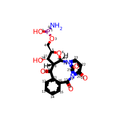 NP(O)OC[C@H]1O[C@@H]2[C@H](C(=O)c3ccccc3C(=O)n3c(=O)ccn2c3=O)[C@@H]1O